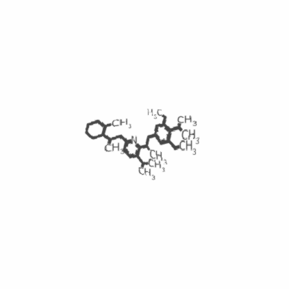 CCc1cc(CC(C)c2nc(CC(C)C3CCCCC3C)ccc2C(C)C)cc(CC)c1C(C)C